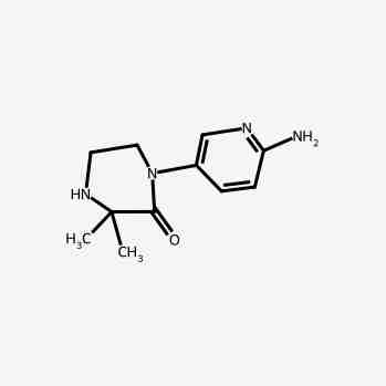 CC1(C)NCCN(c2ccc(N)nc2)C1=O